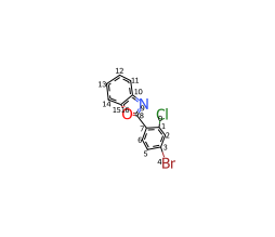 Clc1cc(Br)ccc1-c1nc2ccccc2o1